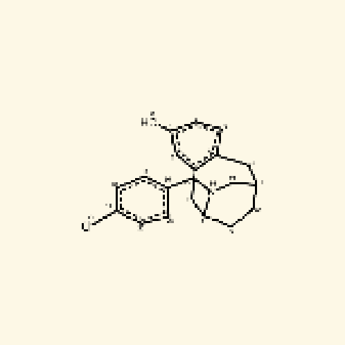 Oc1ccc2c(c1)CC1CCC(C2)CN1Cc1ccc(Cl)cc1